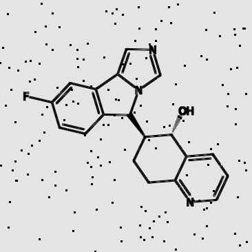 O[C@@H]1c2cccnc2CC[C@H]1C1c2ccc(F)cc2-c2cncn21